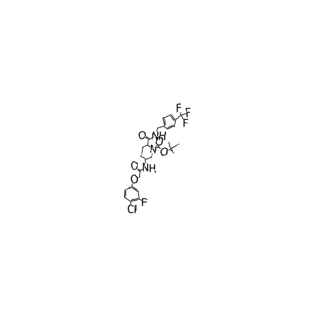 CC(C)(C)OC(=O)N1CC(NC(=O)COc2ccc(Cl)c(F)c2)CCC1C(=O)NCc1ccc(C(F)(F)F)cc1